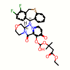 CCOC(=O)CC(C)(C)OC(O)Oc1c2n(ccc1=O)N([C@@H]1c3ccccc3SCc3c1ccc(F)c3F)[C@@H]1COCCN1C2=O